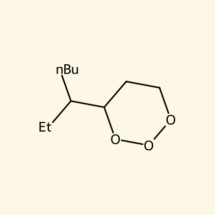 CCCCC(CC)C1CCOOO1